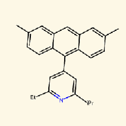 CCc1cc(-c2c3ccc(C)cc3cc3cc(C)ccc23)cc(C(C)C)n1